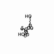 COc1cc2c(cc1OCCCCCCO)CC(c1cccs1)n1cc(C(=O)O)c(=O)cc1-2